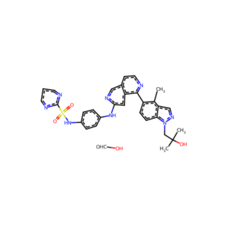 Cc1c(-c2nccc3cnc(Nc4ccc(NS(=O)(=O)c5ncccn5)cc4)cc23)ccc2c1cnn2CC(C)(C)O.O=CO